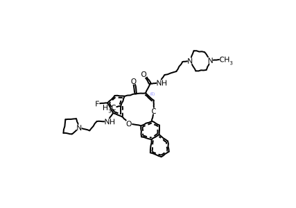 Cc1c2cc(F)c(NCCN3CCCC3)c1Oc1cc3ccccc3cc1C/C=C(/C(=O)NCCCN1CCN(C)CC1)C2=O